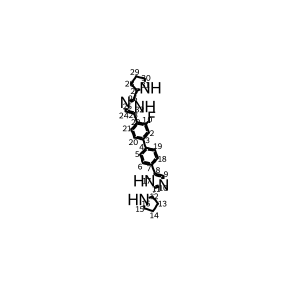 Fc1cc(-c2ccc(-c3cnc([C@@H]4CCCN4)[nH]3)cc2)ccc1-c1cnc(C2CCCN2)[nH]1